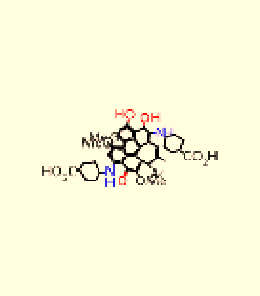 COC1=C2c3c4c5c(c(O)cc(OC)c5c5c(OC)cc(NC6CCC(C(=O)O)CC6)c(c35)C1=O)C(O)C(NC1CCC(C(=O)O)CC1)=C4C=C(C)C2C(C)=O